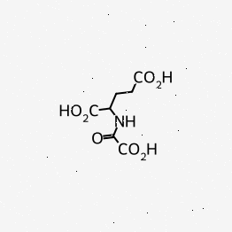 O=C(O)CCC(NC(=O)C(=O)O)C(=O)O